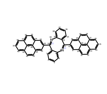 c1ccc2c(c1)/N=C(/c1cc3ccc4cccc5ccc(c1)c3c45)c1ccccc1/N=C\2c1cc2ccc3cccc4ccc(c1)c2c34